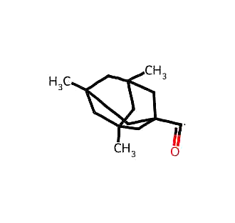 CC12CC3(C)CC(C)(C1)CC([C]=O)(C2)C3